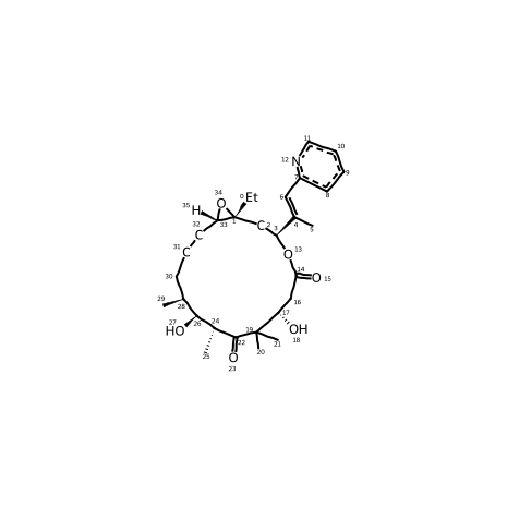 CC[C@@]12C[C@@H](C(C)=Cc3ccccn3)OC(=O)C[C@H](O)C(C)(C)C(=O)[C@H](C)[C@@H](O)[C@@H](C)CCC[C@@H]1O2